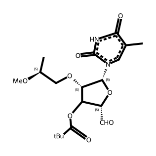 CO[C@@H](C)CO[C@H]1C(OC(=O)C(C)(C)C)[C@@H](C=O)O[C@H]1n1cc(C)c(=O)[nH]c1=O